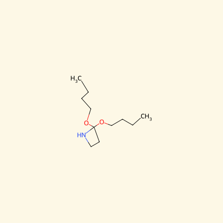 CCCCOC1(OCCCC)CCN1